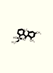 CCP(=O)(O)c1ccccc1C(=O)c1c(C)cc(C)cc1C